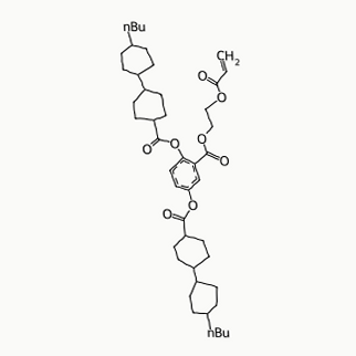 C=CC(=O)OCCOC(=O)c1cc(OC(=O)C2CCC(C3CCC(CCCC)CC3)CC2)ccc1OC(=O)C1CCC(C2CCC(CCCC)CC2)CC1